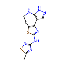 Cc1nc(Nc2nc3c(s2)CCNc2[nH]ncc2-3)ns1